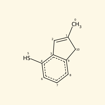 CC1=Cc2c(S)cccc2C1